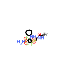 CC(C)CC(=O)NCCS(=O)(=O)c1c(F)c(F)c(S(N)(=O)=O)c(F)c1NC1CCCCCCC1